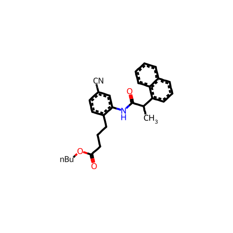 CCCCOC(=O)CCCc1ccc(C#N)cc1NC(=O)C(C)c1cccc2ccccc12